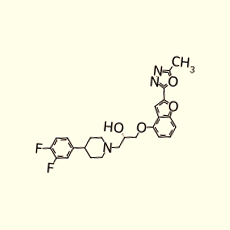 Cc1nnc(-c2cc3c(OC[C@@H](O)CN4CCC(c5ccc(F)c(F)c5)CC4)cccc3o2)o1